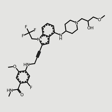 CNC(=O)c1cc(OC)c(NCC#Cc2cc3c(NC4CCN(CC(O)COC)CC4)cccc3n2CC(F)(F)F)cc1F